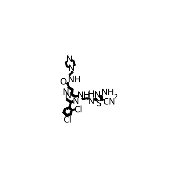 CN1CCN(CCNC(=O)c2cc3c(NCCNc4nc(N)c(C#N)s4)nc(-c4ccc(Cl)cc4Cl)cn3n2)CC1